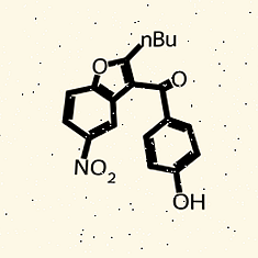 CCCCc1oc2ccc([N+](=O)[O-])cc2c1C(=O)c1ccc(O)cc1